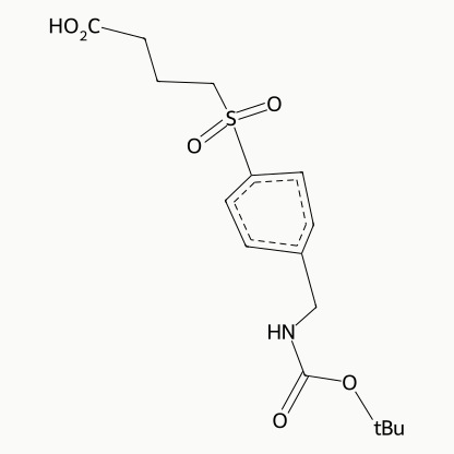 CC(C)(C)OC(=O)NCc1ccc(S(=O)(=O)CCCC(=O)O)cc1